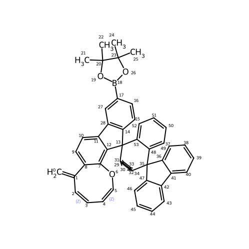 C=C1/C=C\C=C/Oc2c1ccc1c2C2(c3ccc(B4OC(C)(C)C(C)(C)O4)cc3-1)c1ccccc1C1(c3ccccc3-c3ccccc31)c1ccccc12